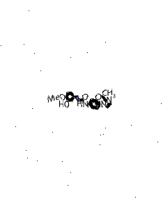 COc1ccc(/C=C/C(=O)Nc2cccc(OC(C)c3ncc[nH]3)c2)cc1O